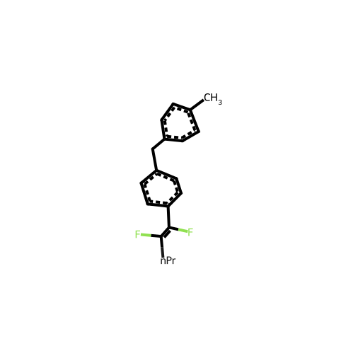 CCCC(F)=C(F)c1ccc(Cc2ccc(C)cc2)cc1